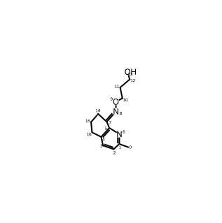 Cc1ccc2c(n1)/C(=N/OCCCO)CCC2